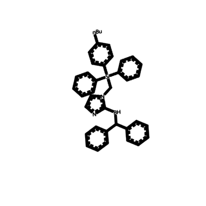 CCCCc1ccc([Si](Cn2ccnc2BC(c2ccccc2)c2ccccc2)(c2ccccc2)c2ccccc2)cc1